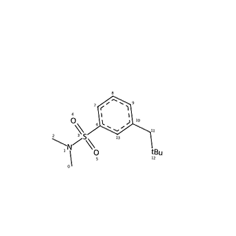 CN(C)S(=O)(=O)c1cccc(CC(C)(C)C)c1